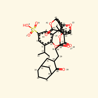 CC(C)c1cc(S(=O)(=O)O)cc(C(C)C)c1OC(=O)c1c2c3oc1c(OC(=O)CCC1CC4CCCC(C4)C1=O)c3OC2=O